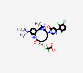 Cc1[nH]c2nc1-c1ccc(N(C)C(=O)O)cc1NC(=O)[C@H](C)CCC[C@@H]2n1cnc(-c2c(F)ccc(Cl)c2F)cc1=O.O=C(O)C(F)(F)F